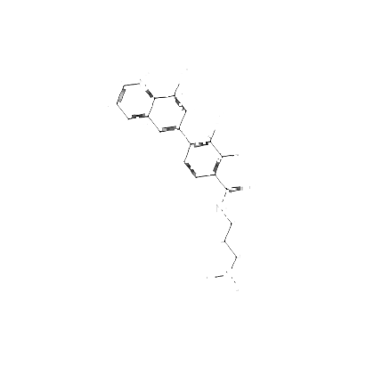 CN(C)CCCNC(=O)c1ccc(-c2cc(O)c3ncccc3c2)c(F)c1Cl